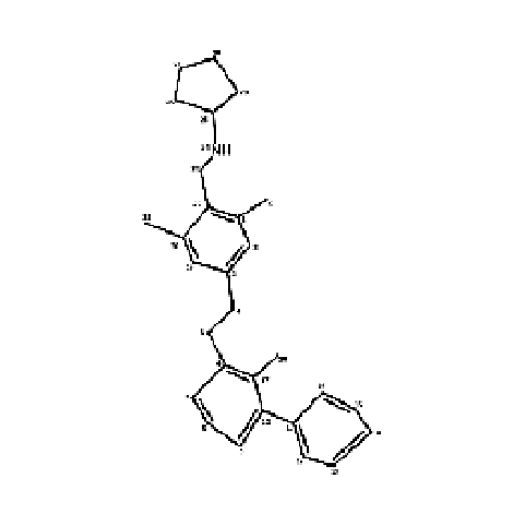 Cc1cc(CCc2cccc(-c3ccccc3)c2C)cc(C)c1CNC1CCCC1